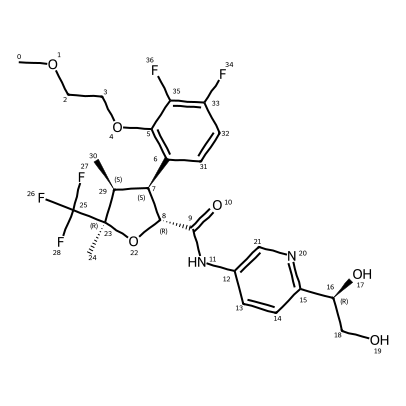 COCCOc1c([C@H]2[C@H](C(=O)Nc3ccc([C@@H](O)CO)nc3)O[C@@](C)(C(F)(F)F)[C@H]2C)ccc(F)c1F